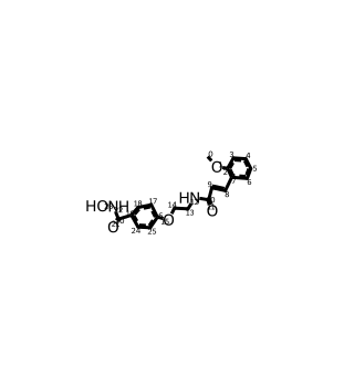 COc1ccccc1C=CC(=O)NCCOc1ccc(C(=O)NO)cc1